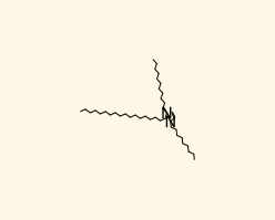 CCCCCCCCCCCCCCCCCC1N(CCCCCCCCC)C=CN1CCCCCCCCCCC